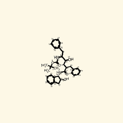 CC(C)(C)OC(=O)NC(Cc1ccccc1)C(O)CC(Cc1ccccc1)C(=O)N[C@H]1c2ccccc2C[C@@H]1O